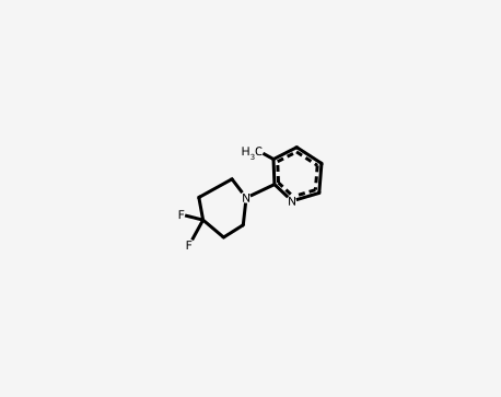 Cc1cccnc1N1CCC(F)(F)CC1